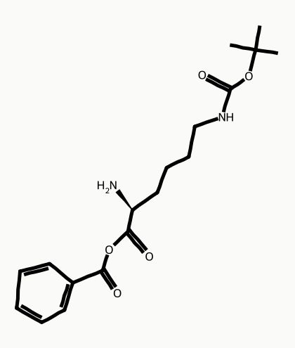 CC(C)(C)OC(=O)NCCCC[C@H](N)C(=O)OC(=O)c1ccccc1